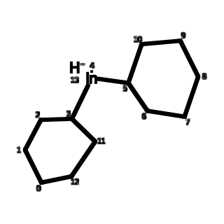 C1CC[CH]([In][CH]2CCCCC2)CC1.[H-]